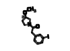 CO[C@@H]1CCN(C(=O)Cc2cccc(I)c2)C1